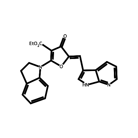 CCOC(=O)C1=C(N2CCc3ccccc32)OC(=Cc2c[nH]c3ncccc23)C1=O